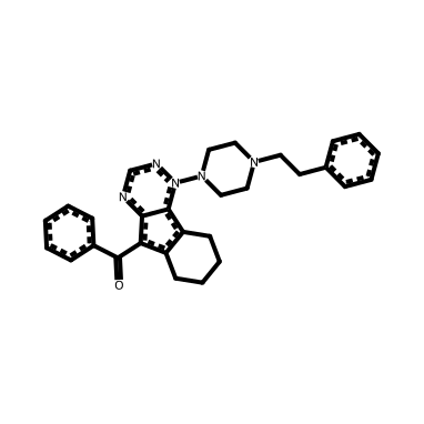 O=C(c1ccccc1)c1c2ncnn(N3CCN(CCc4ccccc4)CC3)c-2c2c1CCCC2